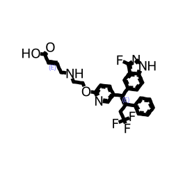 O=C(O)/C=C/CNCCOc1ccc(/C(=C(\CC(F)(F)F)c2ccccc2)c2ccc3[nH]nc(F)c3c2)cn1